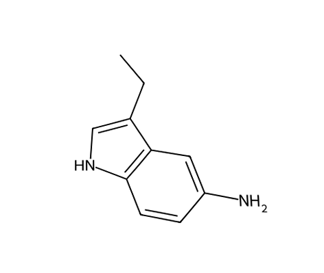 CCc1c[nH]c2ccc(N)cc12